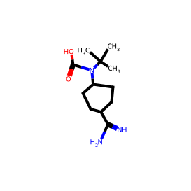 CC(C)(C)N(C(=O)O)C1CCC(C(=N)N)CC1